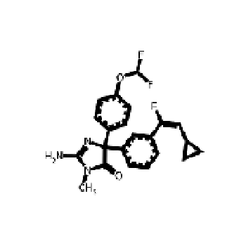 CN1C(=O)C(c2ccc(OC(F)F)cc2)(c2cccc(/C(F)=C\C3CC3)c2)N=C1N